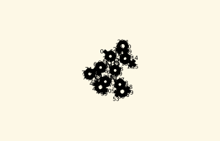 Cc1cc2c3c(c1)N1c4c(cc(C(C)(C)C)cc4C4(C)CCCCC14C)B3c1ccc(N(c3ccc4c(c3)C(C)(C)CCC4(C)C)c3ccc4c(c3)C(C)(C)CCC4(C)C)cc1N2c1ccc2c(c1)oc1ccccc12